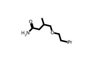 CC(C)CCOCC(C)CC(N)=O